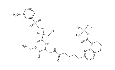 CCOC(=O)C(CNC(=O)CCCCc1ccc2c(n1)N(C(=O)OC(C)(C)C)CCC2)NC(=O)C1(CC)CN(S(=O)(=O)c2cccc(C)c2)C1